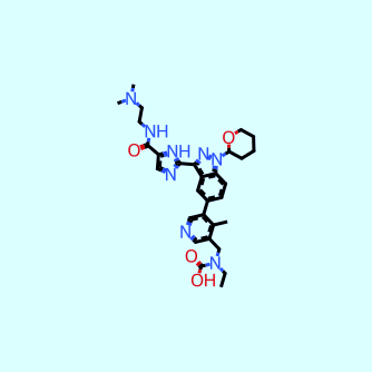 CCN(Cc1cncc(-c2ccc3c(c2)c(-c2ncc(C(=O)NCCN(C)C)[nH]2)nn3C2CCCCO2)c1C)C(=O)O